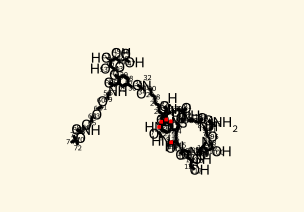 CC[C@H](C)[C@@H]1NC(=O)CNC(=O)[C@@H]2Cc3c4[nH]c5cc(ccc35)OC1(CCCCCCN(C)C(=O)OCc1ccc(O[C@@H]3O[C@H](C(=O)O)[C@@H](O)[C@H](O)[C@H]3O)c(C(=O)NCCOCCOCCONC(=O)OC(C)(C)C)c1)C(=O)NCC(=O)N[C@@H](C[S+]4[O-])C(=O)N[C@@H](CC(N)=O)C(=O)N1C[C@H](O)C[C@H]1C(=O)N[C@@H]([C@@H](C)[C@@H](O)CO)C(=O)N2